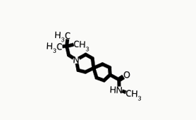 CNC(=O)C1CCC2(CC1)CCN(CC(C)(C)C)CC2